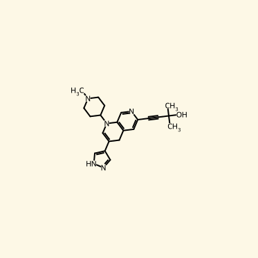 CN1CCC(N2C=C(c3cn[nH]c3)Cc3cc(C#CC(C)(C)O)ncc32)CC1